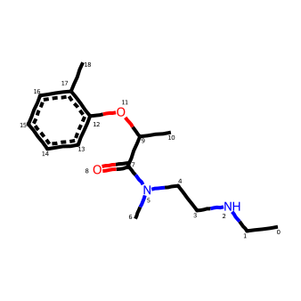 CCNCCN(C)C(=O)C(C)Oc1ccccc1C